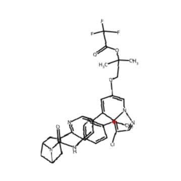 COc1ccc(NC(=O)N2C3CC2CN(c2ccc(-c4cc(OCC(C)(C)OC(=O)C(F)(F)F)cn5ncc(Cl)c45)cn2)C3)cn1